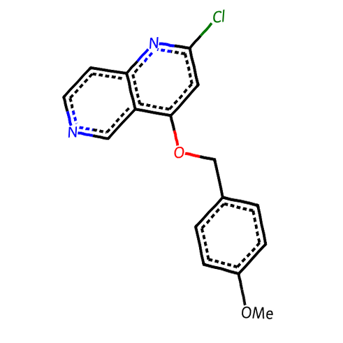 COc1ccc(COc2cc(Cl)nc3ccncc23)cc1